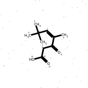 CC(=CC(C)(C)C)C(=O)CC(=O)O